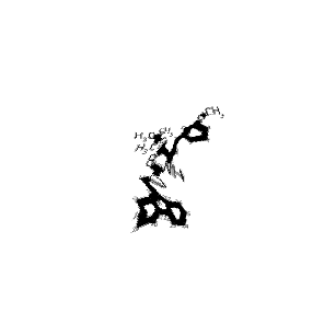 COc1cccc(CCC(NC(=O)OCC2c3ccccc3-c3ccccc32)C(=O)OC(C)(C)C)c1